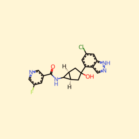 O=C(NC1[C@H]2CC(O)(c3cc(Cl)cc4[nH]ncc34)C[C@@H]12)c1cncc(F)c1